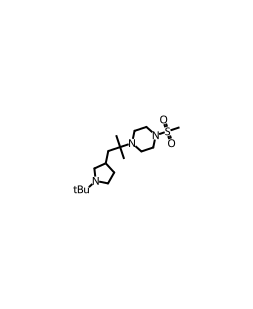 CC(C)(C)N1CCC(CC(C)(C)N2CCN(S(C)(=O)=O)CC2)C1